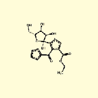 CCOC(=O)c1nnn([C@@]2(O)O[C@H](CO)[C@@H](O)[C@H]2O)c1C(=O)c1cccs1